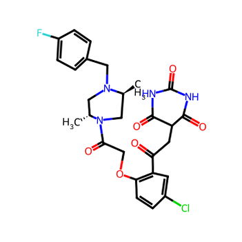 C[C@@H]1CN(Cc2ccc(F)cc2)[C@@H](C)CN1C(=O)COc1ccc(Cl)cc1C(=O)CC1C(=O)NC(=O)NC1=O